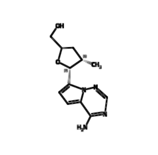 C[C@H]1CC(CO)O[C@H]1c1ccc2c(N)ncnn12